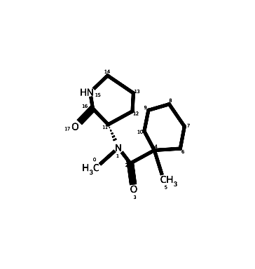 CN(C(=O)C1(C)CCCCC1)[C@H]1CCCNC1=O